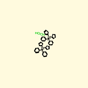 C1=CC[C]([Hf]([C]2=CC=CC2)=[Si](c2ccccc2)c2ccccc2)=C1.C1=CC[C]([Hf]([C]2=CC=CC2)=[Si](c2ccccc2)c2ccccc2)=C1.Cl.Cl